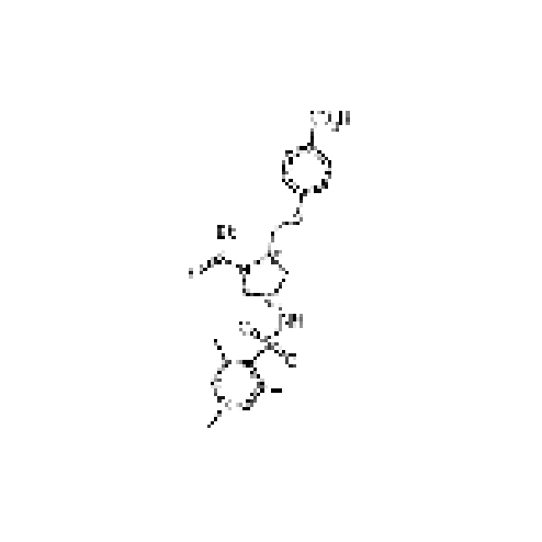 CCC(=O)N1C[C@@H](NS(=O)(=O)c2c(C)cc(C)cc2C)C[C@H]1COc1ccc(C(=O)O)cc1